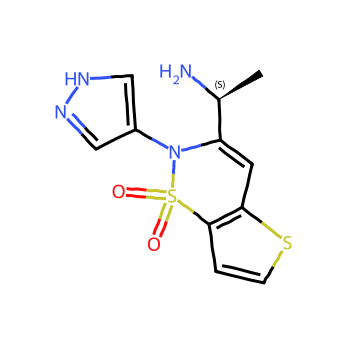 C[C@H](N)C1=Cc2sccc2S(=O)(=O)N1c1cn[nH]c1